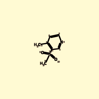 Cc1ccncc1S(C)(=O)=O